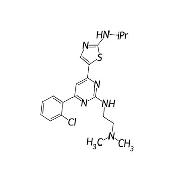 CC(C)Nc1ncc(-c2cc(-c3ccccc3Cl)nc(NCCN(C)C)n2)s1